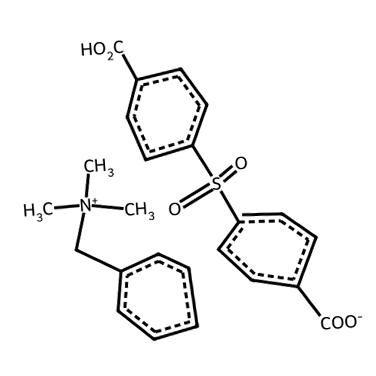 C[N+](C)(C)Cc1ccccc1.O=C([O-])c1ccc(S(=O)(=O)c2ccc(C(=O)O)cc2)cc1